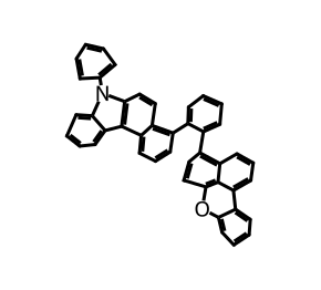 c1ccc(-n2c3ccccc3c3c4cccc(-c5ccccc5-c5ccc6c7c(cccc57)-c5ccccc5O6)c4ccc32)cc1